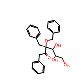 O=C(Cc1ccccc1)[C@](Cc1ccccc1)(OCc1ccccc1)[C@@H](O)[C@H](O)CO